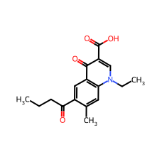 CCCC(=O)c1cc2c(=O)c(C(=O)O)cn(CC)c2cc1C